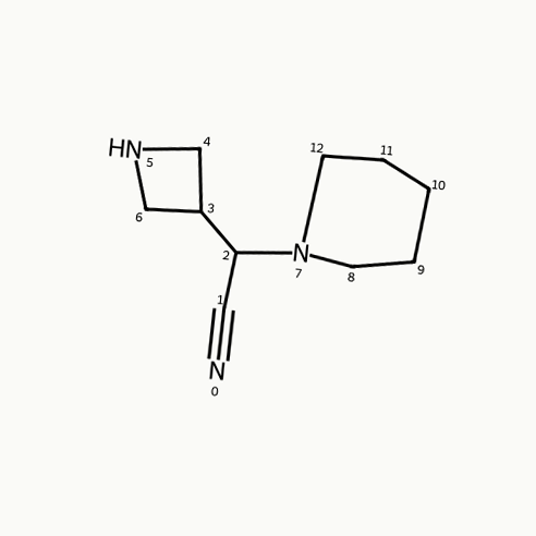 N#CC(C1CNC1)N1CCCCC1